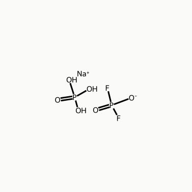 O=P(O)(O)O.O=P([O-])(F)F.[Na+]